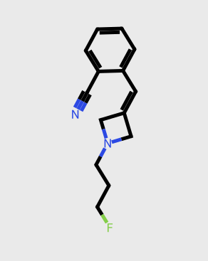 N#Cc1ccccc1C=C1CN(CCCF)C1